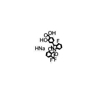 O=C(O)c1ccc(-c2nn(C(=O)c3c(Cl)cccc3C(F)(F)F)c3cccc(F)c23)cc1O.[NaH]